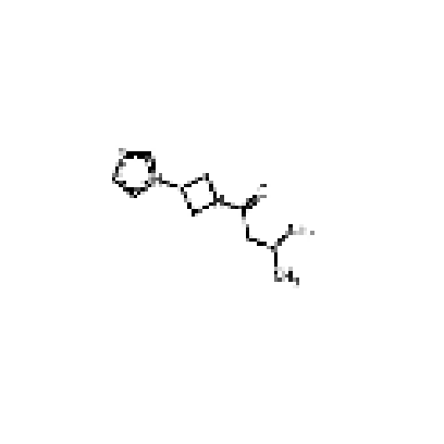 CC(C)CC(=O)N1CC(n2ccnc2)C1